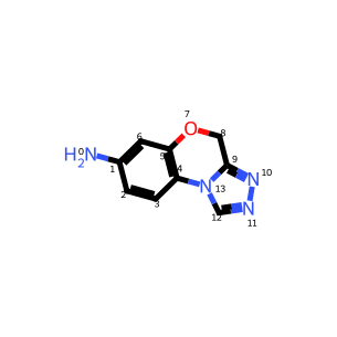 Nc1ccc2c(c1)OCc1nncn1-2